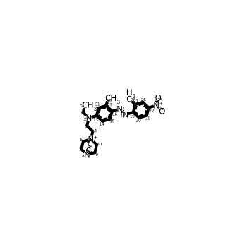 CCN(CC[N+]12CCN(CC1)CC2)c1ccc(N=Nc2ccc([N+](=O)[O-])cc2C)c(C)c1